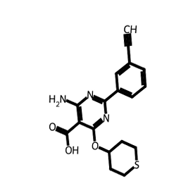 C#Cc1cccc(-c2nc(N)c(C(=O)O)c(OC3CCSCC3)n2)c1